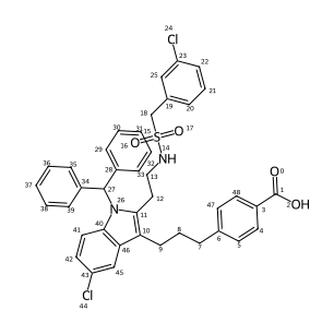 O=C(O)c1ccc(CCCc2c(CCNS(=O)(=O)Cc3cccc(Cl)c3)n(C(c3ccccc3)c3ccccc3)c3ccc(Cl)cc23)cc1